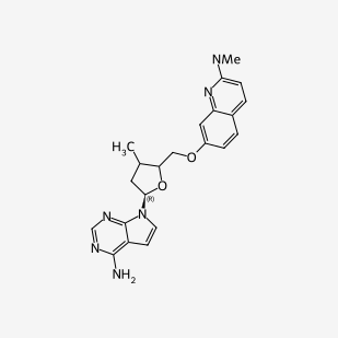 CNc1ccc2ccc(OCC3O[C@@H](n4ccc5c(N)ncnc54)CC3C)cc2n1